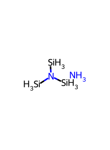 N.[SiH3]N([SiH3])[SiH3]